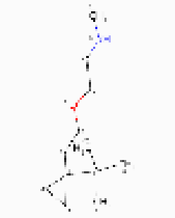 CNCCOCCC1(C(C)(C)C)CC1